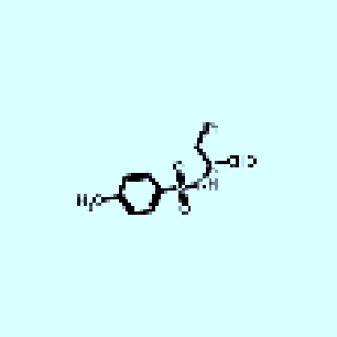 Cc1ccc(S(=O)(=O)N[C@H]([C]=O)CC(C)C)cc1